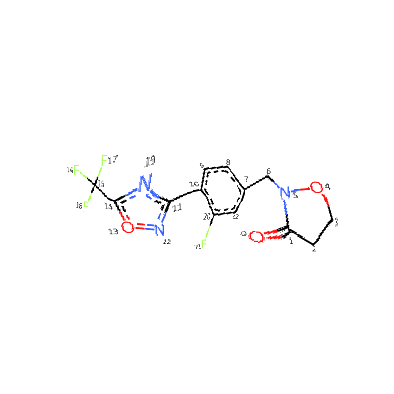 O=C1CCON1Cc1ccc(-c2noc(C(F)(F)F)n2)c(F)c1